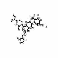 C=CC(=O)N1CCN(c2nc(OC[C@H]3CCCN3C)nc3c(F)c(-c4nc(N)cc(C)c4C(F)(F)F)c(Cl)cc23)[C@@H](C)C1